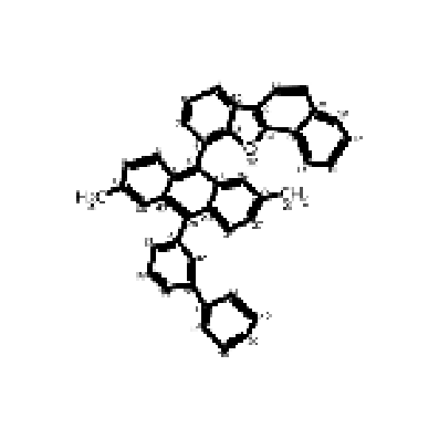 Cc1ccc2c(-c3cccc4c3oc3c5ccccc5ccc43)c3cc(C)ccc3c(-c3cccc(-c4ccccc4)c3)c2c1